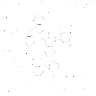 C=N/C=C(\C=C/C)P(=O)(c1ccccc1)c1ccc2c(c1)c1cc([PH](O)(c3ccccc3)c3ccccc3)ccc1n2-c1ccccc1